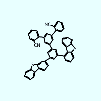 N#Cc1ccccc1-c1cc(-c2cc(-c3ccc4c(c3)sc3ccccc34)cc(-c3cccc4sc5ccccc5c34)c2)cc(-c2ccccc2C#N)c1